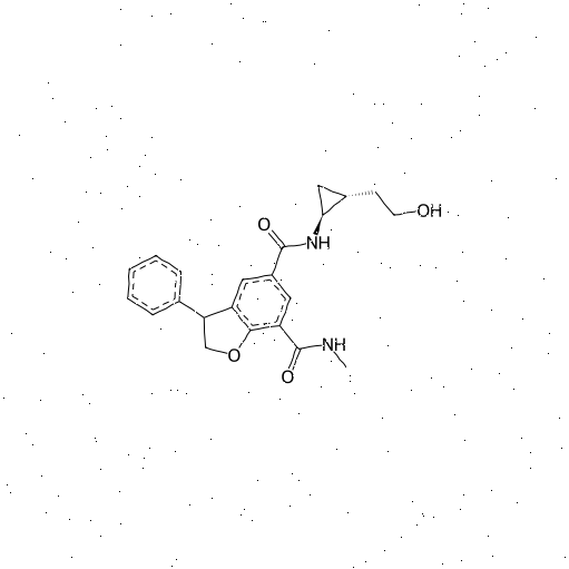 CNC(=O)c1cc(C(=O)N[C@H]2C[C@@H]2CCO)cc2c1OCC2c1ccccc1